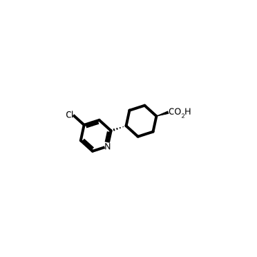 O=C(O)[C@H]1CC[C@H](c2cc(Cl)ccn2)CC1